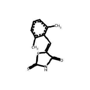 Cc1cccc(C)c1/C=C1\SC(=S)NC1=O